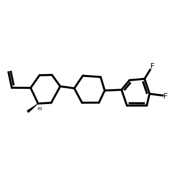 C=CC1CCC(C2CCC(c3ccc(F)c(F)c3)CC2)C[C@H]1C